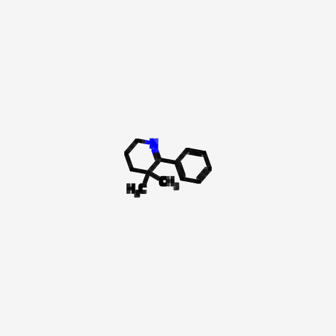 CC1(C)CCCN=C1c1ccccc1